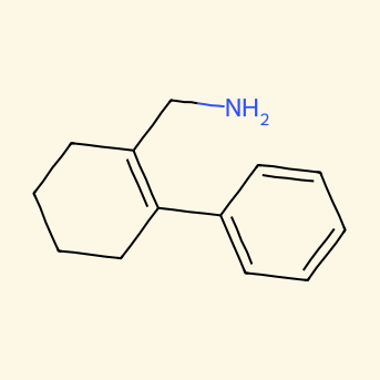 NCC1=C(c2ccccc2)CCCC1